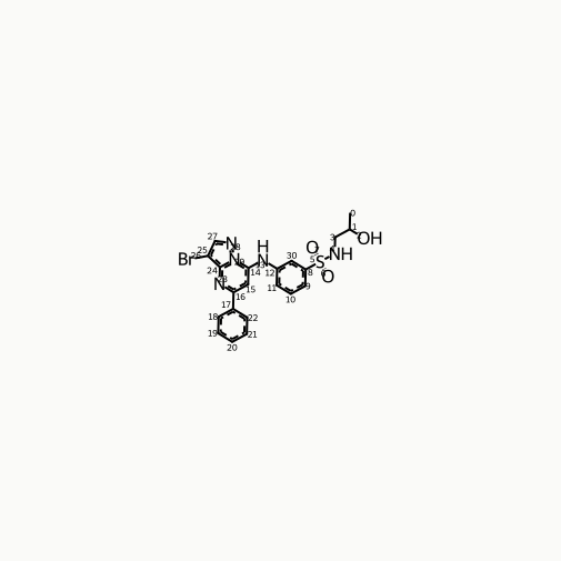 CC(O)CNS(=O)(=O)c1cccc(Nc2cc(-c3ccccc3)nc3c(Br)cnn23)c1